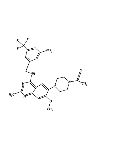 COc1cc2nc(C)nc(NCc3cc(N)cc(C(F)(F)F)c3)c2cc1P1CCN(C(C)=O)CC1